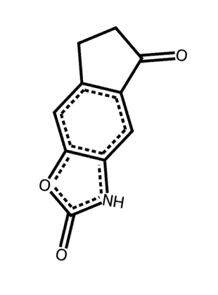 O=C1CCc2cc3oc(=O)[nH]c3cc21